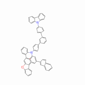 c1cc(-c2ccc(N(c3cccc(-c4ccc5ccccc5c4)c3)c3ccccc3-c3ccc4c(c3)oc3ccccc34)cc2)cc(-c2ccc(-n3c4ccccc4c4ccccc43)cc2)c1